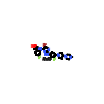 COc1c(Nc2ncc(Br)c(Nc3cc(F)ccc3C(C)(C)O)n2)ccc(N2CCC(N3CCN(C)CC3)CC2)c1F